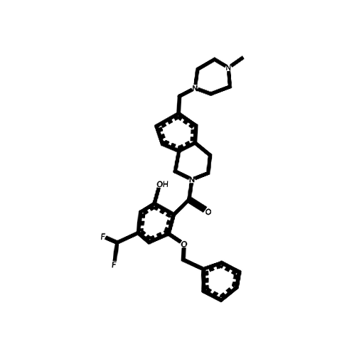 CN1CCN(Cc2ccc3c(c2)CCN(C(=O)c2c(O)cc(C(F)F)cc2OCc2ccccc2)C3)CC1